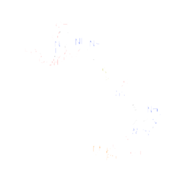 Nc1ncnc2c1c(C#CCNC(=O)CCSSCCCC(N)C(=O)NC(CC(=O)O)C(=O)NC(CC(=O)O)C(=O)O)cn2C1CC(O)C(COP(P)P)O1